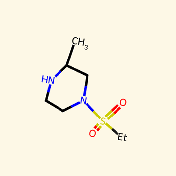 CCS(=O)(=O)N1CCNC(C)C1